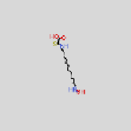 O=C(O)C(=S)NCCCCCCCCCCCCNO